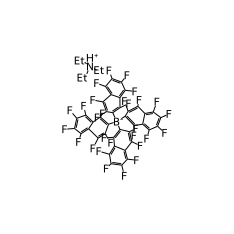 CC[NH+](CC)CC.Fc1c(F)c(F)c2c(F)c([B-](c3c(F)c(F)c4c(F)c(F)c(F)c(F)c4c3F)(c3c(F)c(F)c4c(F)c(F)c(F)c(F)c4c3F)c3c(F)c(F)c4c(F)c(F)c(F)c(F)c4c3F)c(F)c(F)c2c1F